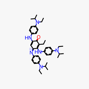 CCC1=C(Nc2ccc(N(CC)C(C)C)cc2)/C(=N\c2ccc(N(CC)C(C)C)cc2)C=C(Nc2ccc(N(CC)C(C)C)cc2)C1=O